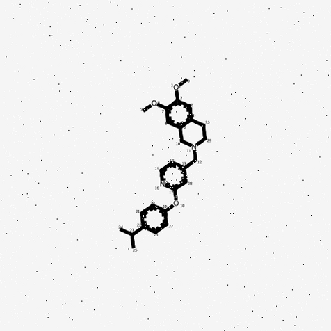 COc1cc2c(cc1OC)CN(Cc1ccnc(Oc3ccc(C(C)C)cc3)c1)CC2